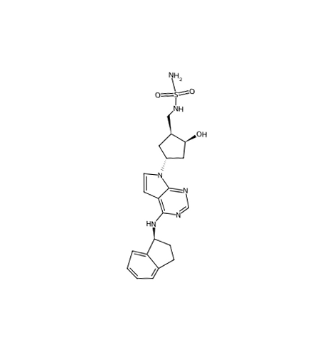 NS(=O)(=O)NC[C@@H]1C[C@@H](n2ccc3c(N[C@H]4CCc5ccccc54)ncnc32)C[C@@H]1O